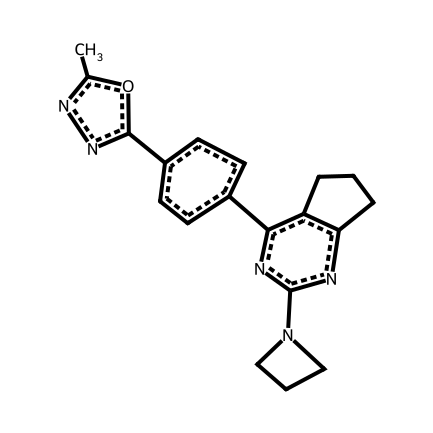 Cc1nnc(-c2ccc(-c3nc(N4CCC4)nc4c3CCC4)cc2)o1